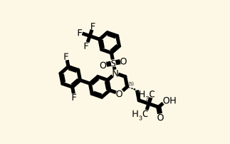 CC(C)(CC[C@H]1CN(S(=O)(=O)c2cccc(C(F)(F)F)c2)c2cc(-c3cc(F)ccc3F)ccc2O1)C(=O)O